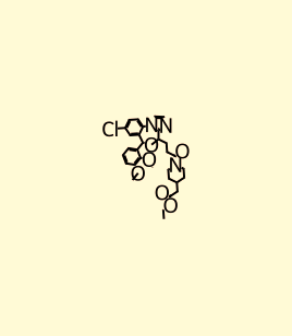 CCOC(=O)CC1CCN(C(=O)CCC2OC(c3cccc(OC)c3OC)c3cc(Cl)ccc3-n3ccnc32)CC1